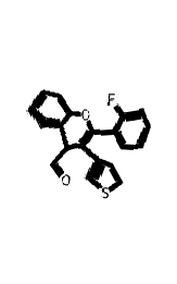 O=CC1C(c2ccsc2)=C(c2ccccc2F)Oc2ccccc21